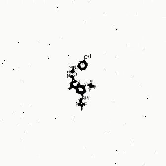 Cc1cc(-c2nnc(N[C@H]3CCC[C@@H](O)C3)o2)nc2c(OC(F)(F)F)cc(NCC(F)(F)F)cc12